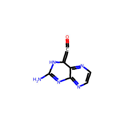 NC1=Nc2nccnc2C(=C=O)N1